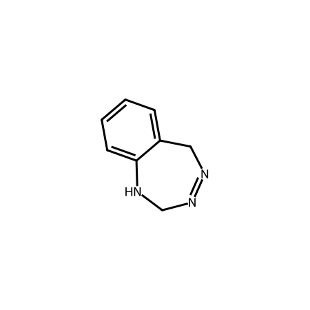 c1ccc2c(c1)CN=NCN2